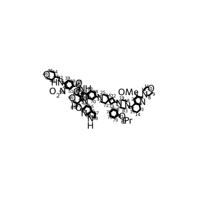 COc1cc2c(nc1N1CCOCC1)CCC[C@H]2N1CCN(C2CC3(CCN(c4ccc(C(=O)NS(=O)(=O)c5ccc(NCC6CCOCC6)c([N+](=O)[O-])c5)c(N5c6cc7cc[nH]c7nc6O[C@H]6COCC[C@@H]65)c4)CC3)C2)[C@@H](c2ccccc2OC(C)C)C1